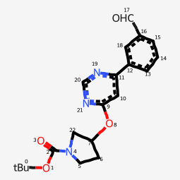 CC(C)(C)OC(=O)N1CCC(Oc2cc(-c3cccc(C=O)c3)ncn2)C1